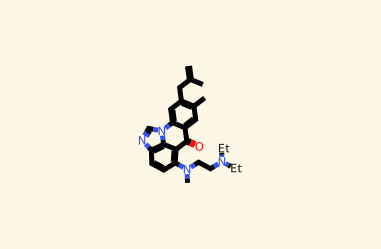 C=C(C)Cc1cc2c(cc1C)c(=O)c1c(N(C)CCN(CC)CC)ccc3ncn2c31